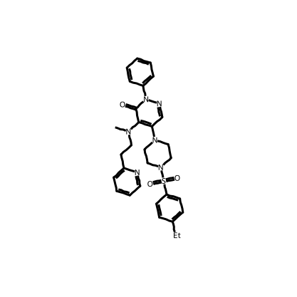 CCc1ccc(S(=O)(=O)N2CCN(c3cnn(-c4ccccc4)c(=O)c3N(C)CCc3ccccn3)CC2)cc1